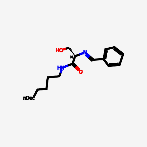 CCCCCCCCCCCCCCNC(=O)[C@H](CO)N=Cc1ccccc1